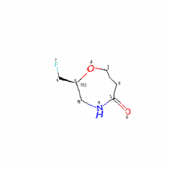 O=C1CCO[C@H](CF)CN1